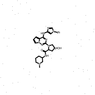 CC(C)n1cnc(Nc2nc(N3C[C@@H](O)CC3C(=O)NC3CCCN(C)C3)nn3cccc23)c1